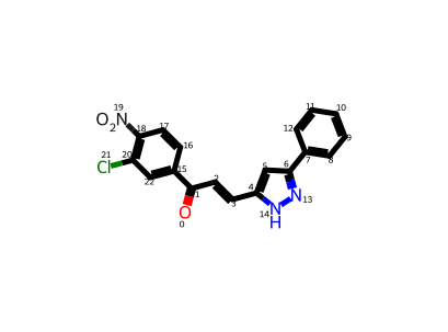 O=C(C=Cc1cc(-c2ccccc2)n[nH]1)c1ccc([N+](=O)[O-])c(Cl)c1